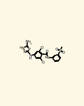 CS(=O)(=O)c1cccc(NC(=O)c2c(Cl)cc(Nc3n[nH]c(N)n3)cc2Cl)c1